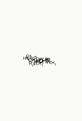 CNC1CCN(C(=O)N(C)C(C)(C)c2ccc(-c3noc(C)n3)cc2)C1